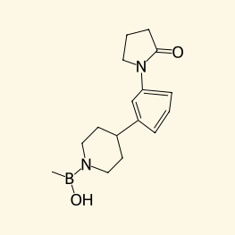 CB(O)N1CCC(c2cccc(N3CCCC3=O)c2)CC1